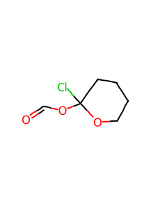 O=COC1(Cl)CCCCO1